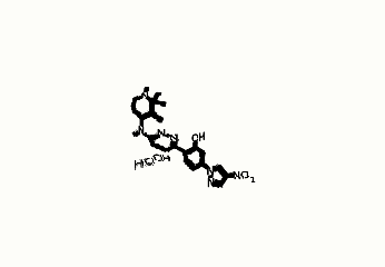 CC1C(N(C)c2ccc(-c3ccc(-n4cc([N+](=O)[O-])cn4)cc3O)nn2)CCN(C)C1(C)C.Cl.Cl